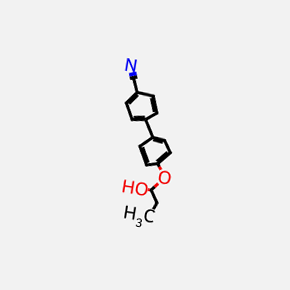 CCC(O)Oc1ccc(-c2ccc(C#N)cc2)cc1